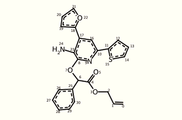 C=CCOC(=O)C(Oc1nc(-c2cccs2)cc(-c2ccco2)c1N)c1ccccc1